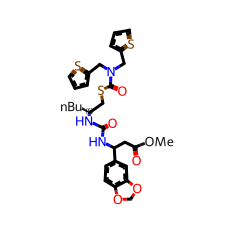 CCCC[C@@H](CSC(=O)N(Cc1cccs1)Cc1cccs1)NC(=O)NC(CC(=O)OC)c1ccc2c(c1)OCO2